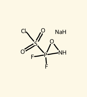 O=S(=O)(Cl)P1(F)(F)NO1.[NaH]